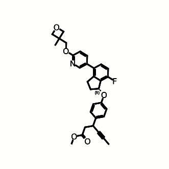 CC#CC(CC(=O)OC)c1ccc(O[C@@H]2CCc3c(-c4ccc(OCC5(C)COC5)nc4)ccc(F)c32)cc1